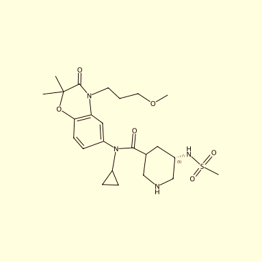 COCCCN1C(=O)C(C)(C)Oc2ccc(N(C(=O)C3CNC[C@@H](NS(C)(=O)=O)C3)C3CC3)cc21